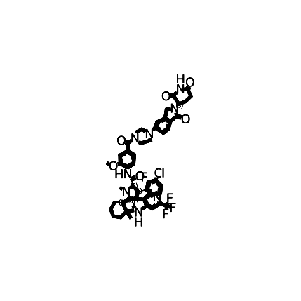 COc1cc(C(=O)N2CCN(c3ccc4c(c3)CN([C@H]3CCC(=O)NC3=O)C4=O)CC2)ccc1NC(=O)[C@H]1[C@H](c2cccc(Cl)c2F)[C@]2(CNc3cc(C(F)(F)F)ncc32)[C@H]([C@@H]2CCCCC2(C)C)N1C